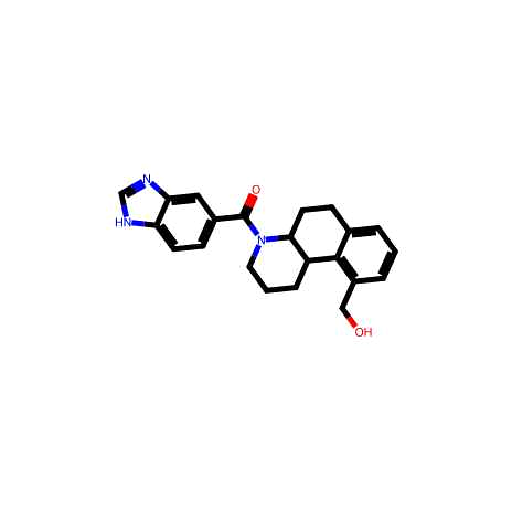 O=C(c1ccc2[nH]cnc2c1)N1CCCC2c3c(CO)cccc3CCC21